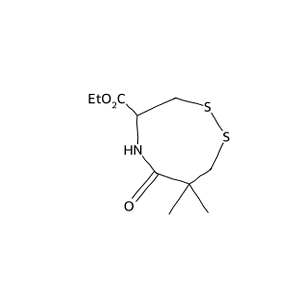 CCOC(=O)C1CSSCC(C)(C)C(=O)N1